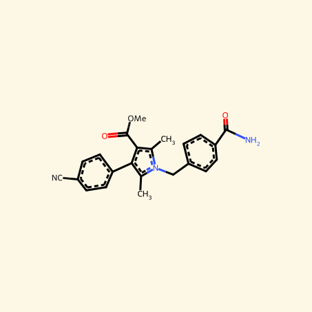 COC(=O)c1c(-c2ccc(C#N)cc2)c(C)n(Cc2ccc(C(N)=O)cc2)c1C